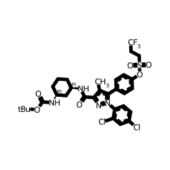 Cc1c(C(=O)N[C@@H]2CCC[C@@H](NC(=O)OC(C)(C)C)C2)nn(-c2ccc(Cl)cc2Cl)c1-c1ccc(OS(=O)(=O)CCC(F)(F)F)cc1